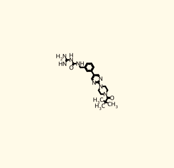 CC(C)(C)C(=O)N1CCN(c2ncc(-c3cccc(CNC(=O)NC(=N)N)c3)cn2)CC1